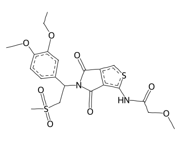 CCOc1cc(C(CS(C)(=O)=O)N2C(=O)c3csc(NC(=O)COC)c3C2=O)ccc1OC